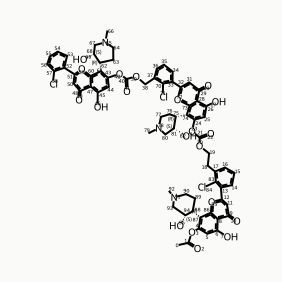 CC(=O)Oc1cc(O)c2c(=O)cc(-c3cccc(CCOC(=O)Oc4cc(O)c5c(=O)cc(-c6cccc(COC(=O)Oc7cc(O)c8c(=O)cc(-c9ccccc9Cl)oc8c7[C@H]7CCN(C)C[C@H]7O)c6Cl)oc5c4[C@H]4CCN(C)C[C@H]4O)c3Cl)oc2c1[C@H]1CCN(C)C[C@H]1O